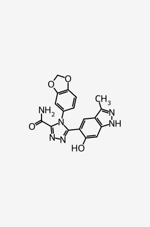 Cc1n[nH]c2cc(O)c(-c3nnc(C(N)=O)n3-c3ccc4c(c3)OCO4)cc12